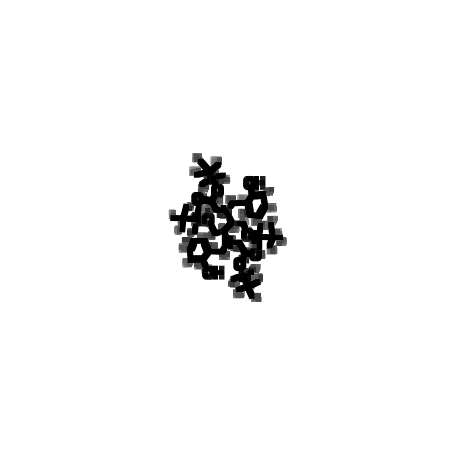 CC(C)(C)[Si](C)(C)OC[C@@H]([C@H](CO[Si](C)(C)C(C)(C)C)N(CC(=O)O[Si](C)(C)C(C)(C)C)Cc1ccccc1O)N(CC(=O)O[Si](C)(C)C(C)(C)C)Cc1ccccc1O